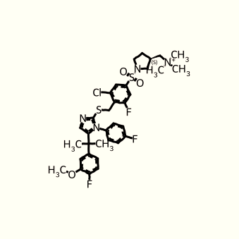 COc1cc(C(C)(C)c2cnc(SCc3c(F)cc(S(=O)(=O)N4CC[C@@H](C[N+](C)(C)C)C4)cc3Cl)n2-c2ccc(F)cc2)ccc1F